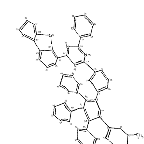 CC1C=CC=C(c2cc(-c3cccc(-c4nc(-c5ccccc5)nc(-c5cccc6c5oc5ccccc56)n4)c3)c(-c3ccccc3)c(-c3ccccc3)c2-c2ccccc2)C1